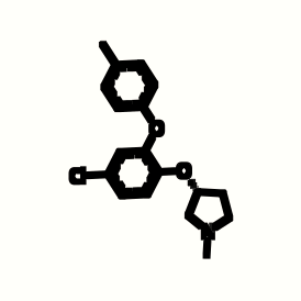 Cc1ccc(Oc2cc(Cl)ccc2O[C@@H]2CCN(C)C2)cc1